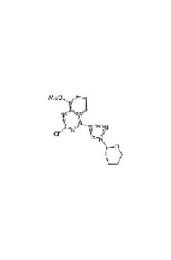 COc1cccc2c(-c3cnn(C4CCCCO4)c3)nc(Cl)nc12